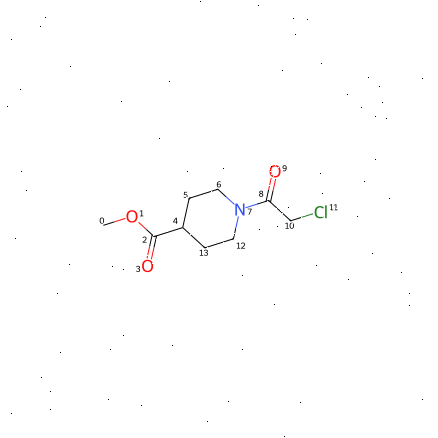 COC(=O)C1CCN(C(=O)CCl)CC1